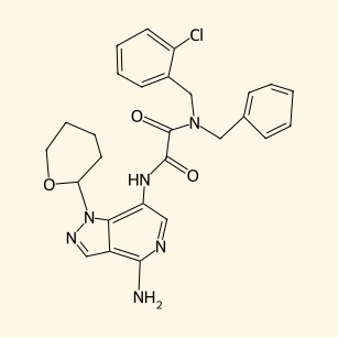 Nc1ncc(NC(=O)C(=O)N(Cc2ccccc2)Cc2ccccc2Cl)c2c1cnn2C1CCCCO1